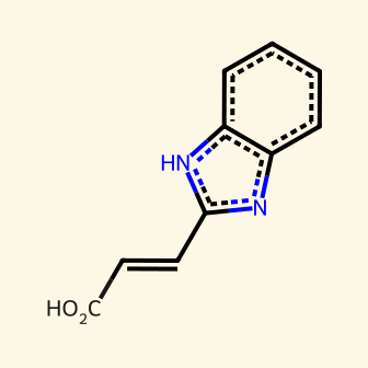 O=C(O)/C=C/c1nc2ccccc2[nH]1